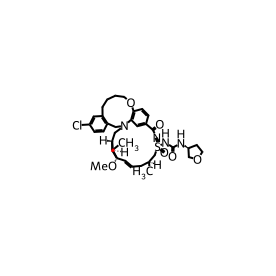 CO[C@@]12/C=C/C[C@H](C)CS(=O)(NC(=O)N[C@H]3CCOC3)=NC(=O)c3ccc4c(c3)N(Cc3ccc(Cl)cc3CCCCO4)C[C@H](C1)[C@H]2C